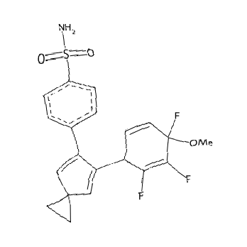 COC1(F)C=CC(C2=CC3(C=C2c2ccc(S(N)(=O)=O)cc2)CC3)C(F)=C1F